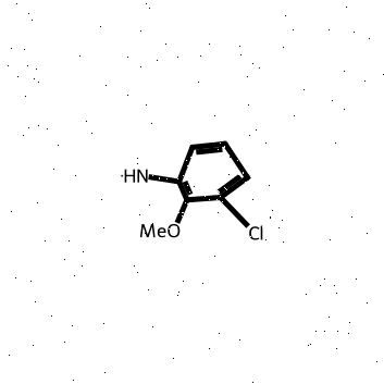 COc1c([NH])cccc1Cl